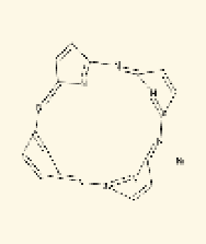 C1=C/C2=N/C3=NC(=N\C4=NC(=N\C5=NC(=N\C1=N2)/C=C5)/C=C4)/C=C3.[Ni]